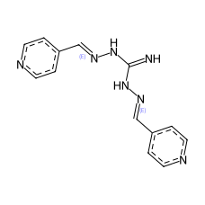 N=C(N/N=C/c1ccncc1)N/N=C/c1ccncc1